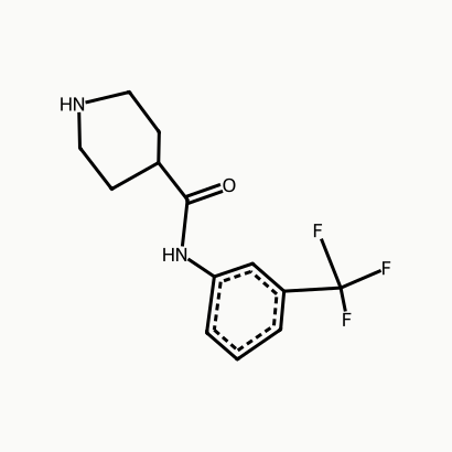 O=C(Nc1cccc(C(F)(F)F)c1)C1CCNCC1